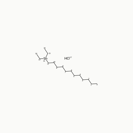 CCCCCCCCCCC[CH2][Sn]([CH2]C)[CH2]C.Cl